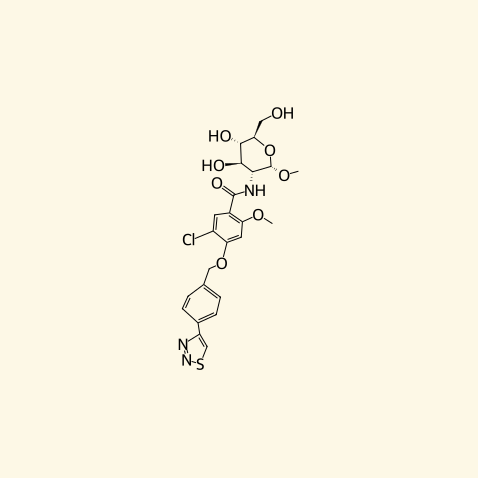 COc1cc(OCc2ccc(-c3csnn3)cc2)c(Cl)cc1C(=O)N[C@H]1[C@@H](OC)O[C@H](CO)[C@@H](O)[C@@H]1O